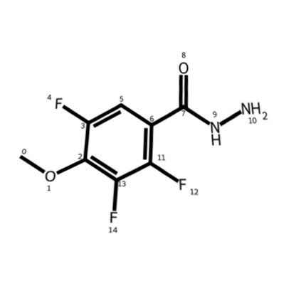 COc1c(F)cc(C(=O)NN)c(F)c1F